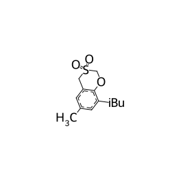 CCC(C)c1cc(C)cc2c1OCS(=O)(=O)C2